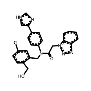 O=C(Cn1nnc2ccccc21)N(Cc1cc(Cl)ccc1CO)c1ccc(-c2c[nH]cn2)cc1